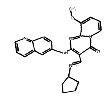 COc1cccn2c(=O)c(/C=N/C3CCCC3)c(Nc3ccc4ncccc4c3)nc12